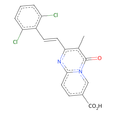 Cc1c(/C=C/c2c(Cl)cccc2Cl)nc2ccc(C(=O)O)cn2c1=O